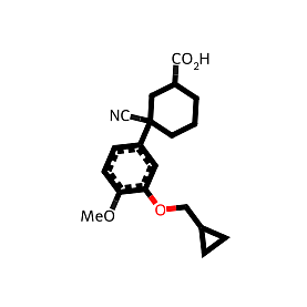 COc1ccc(C2(C#N)CCCC(C(=O)O)C2)cc1OCC1CC1